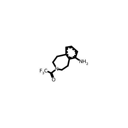 Nc1cccc2c1CCN(C(=O)C(F)(F)F)CC2